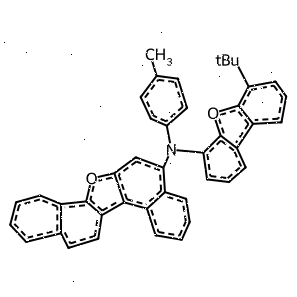 Cc1ccc(N(c2cc3oc4c5ccccc5ccc4c3c3ccccc23)c2cccc3c2oc2c(C(C)(C)C)cccc23)cc1